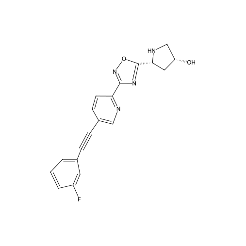 O[C@H]1CN[C@@H](c2nc(-c3ccc(C#Cc4cccc(F)c4)cn3)no2)C1